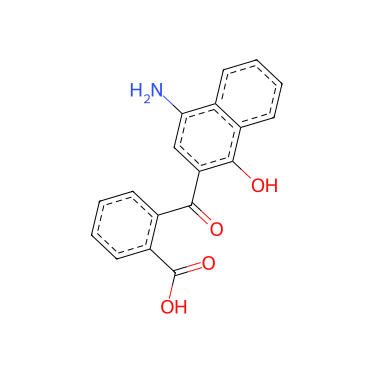 Nc1cc(C(=O)c2ccccc2C(=O)O)c(O)c2ccccc12